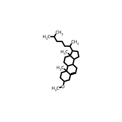 COC1CCC2(C)C(=CCC3C2CCC2(C)C(C(C)CCCC(C)C)CCC32)C1